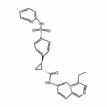 CCc1cncc2ccc(NC(=O)[C@@H]3C[C@H]3c3ccc(S(=O)(=O)Nc4ccccn4)cc3)cc12